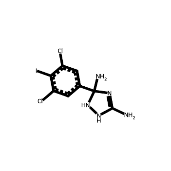 NC1=NC(N)(c2cc(Cl)c(I)c(Cl)c2)NN1